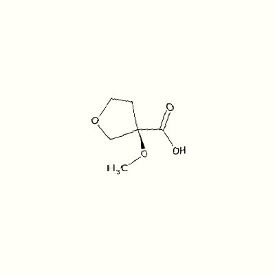 CO[C@]1(C(=O)O)CCOC1